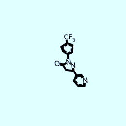 O=C1CC(c2cccnc2)=NN1c1ccc(C(F)(F)F)cc1